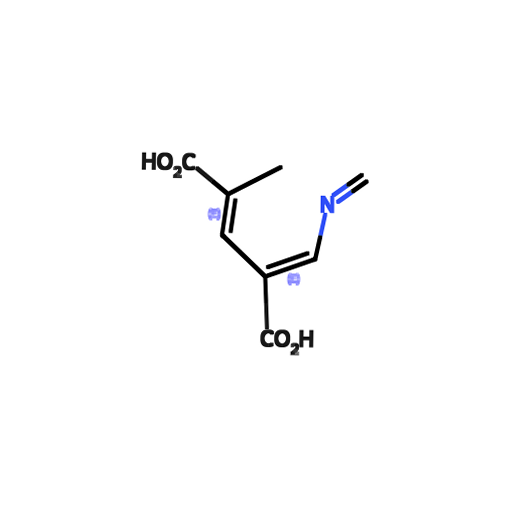 C=N/C=C(\C=C(/C)C(=O)O)C(=O)O